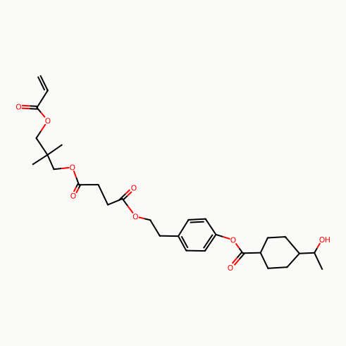 C=CC(=O)OCC(C)(C)COC(=O)CCC(=O)OCCc1ccc(OC(=O)C2CCC(C(C)O)CC2)cc1